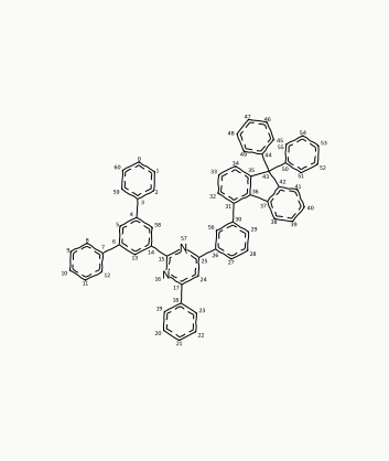 c1ccc(-c2cc(-c3ccccc3)cc(-c3nc(-c4ccccc4)cc(-c4cccc(-c5cccc6c5-c5ccccc5C6(c5ccccc5)c5ccccc5)c4)n3)c2)cc1